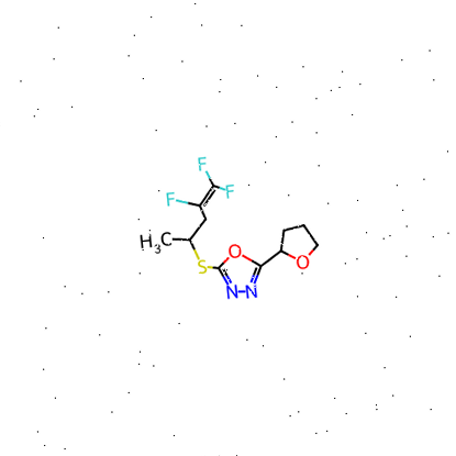 CC(CC(F)=C(F)F)Sc1nnc(C2CCCO2)o1